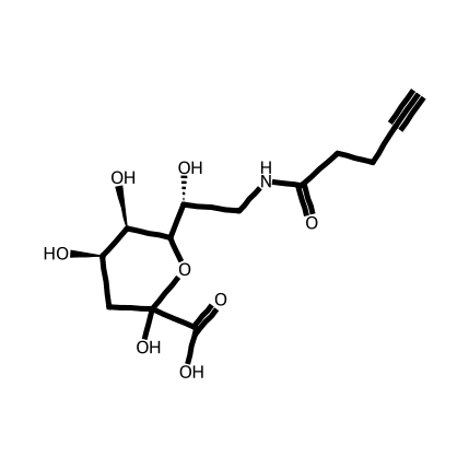 C#CCCC(=O)NC[C@@H](O)C1OC(O)(C(=O)O)C[C@@H](O)[C@H]1O